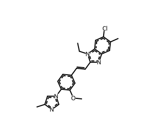 CCn1c(/C=C/c2ccc(-n3cnc(C)c3)c(OC)c2)nc2cc(C)c(Cl)cc21